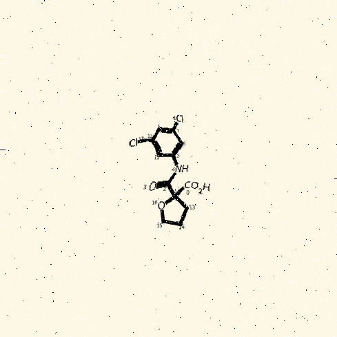 O=C(O)C1(C(=O)Nc2cc(Cl)cc(Cl)c2)CCCO1